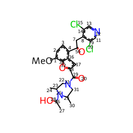 COc1ccc(C(=O)Cc2c(Cl)cncc2Cl)c2cc(C(=O)N3CC(C)N(C(C)O)C(C)C3)oc12